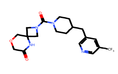 O=C1COCC2(CN(C(=O)N3CCC(Cc4cncc(C(F)(F)F)c4)CC3)C2)N1